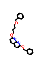 c1ccc(COCCCCOc2ccc3ccc(OCc4ccccc4)nc3n2)cc1